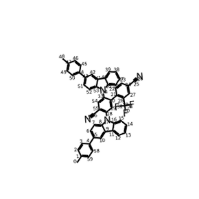 Cc1ccc(-c2ccc3c(c2)c2ccccc2n3-c2cc(-c3ccc(C#N)cc3C(F)(F)F)c(-n3c4ccccc4c4cc(-c5ccc(C)cc5)ccc43)cc2C#N)cc1